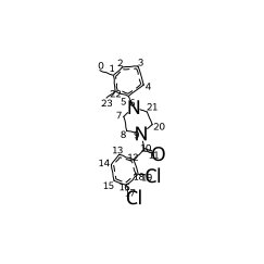 Cc1cccc(N2CCN(C(=O)c3cccc(Cl)c3Cl)CC2)c1C